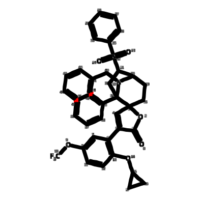 O=C1OC2(C=C1c1cc(OC(F)(F)F)ccc1OC1CC1)CCC1C(S(=O)(=O)c3ccccc3)CC2(c2ccccc2)N1Cc1ccccc1